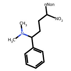 CCCCCCCCCC(CCC(c1ccccc1)N(C)C)[N+](=O)[O-]